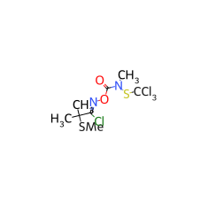 CSC(C)(C)/C(Cl)=N/OC(=O)N(C)SC(Cl)(Cl)Cl